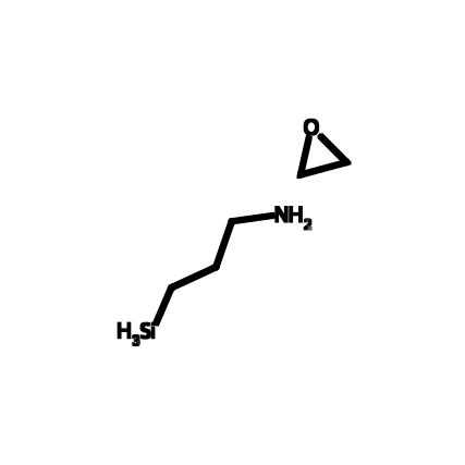 C1CO1.NCCC[SiH3]